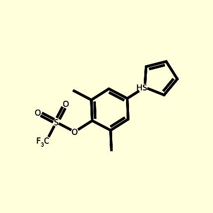 Cc1cc([SH]2C=CC=C2)cc(C)c1OS(=O)(=O)C(F)(F)F